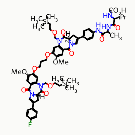 COc1cc2c(cc1OCCCOc1cc3c(cc1OC)C(=O)N1C=C(c4ccc(NC(=O)C(C)NC(=O)C(NC(=O)O)C(C)C)cc4)C[C@H]1C(=O)N3COCC[Si](C)(C)C)N(COCC[Si](C)(C)C)C(=O)[C@@H]1CC(c3ccc(F)cc3)=CN1C2=O